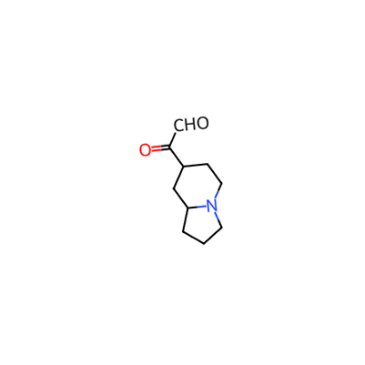 O=CC(=O)C1CCN2CCCC2C1